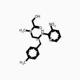 Cc1ccc(C[C@@H](CN(C)C(=O)CO)Nc2ncccc2[N+](=O)[O-])cc1